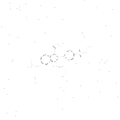 CC(C)NS(=O)(=O)c1cnc(-c2c(C(N)=O)c3ccc(OC(F)F)cc3n2C2CCCCC2)nc1